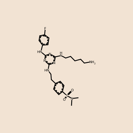 CN(C)S(=O)(=O)c1ccc(CCNc2nc(NCCCCCN)nc(Nc3ccc(F)cc3)n2)cc1